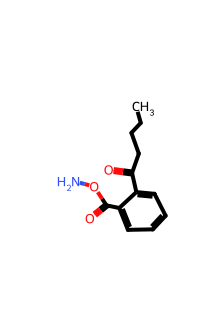 CCCCC(=O)c1ccccc1C(=O)ON